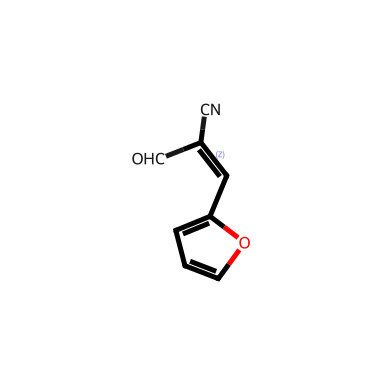 N#C/C(C=O)=C/c1ccco1